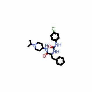 CC(C)N1CCC(NC(=O)C(Cc2ccccc2)NC(=O)Nc2ccc(Cl)cc2)CC1